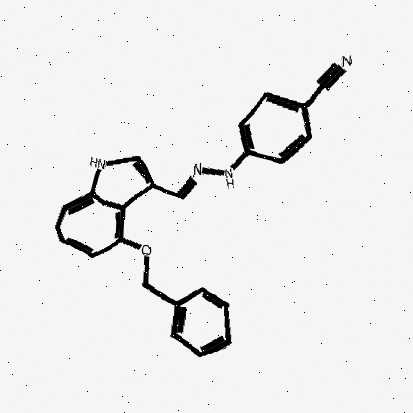 N#Cc1ccc(N/N=C/c2c[nH]c3cccc(OCc4ccccc4)c23)cc1